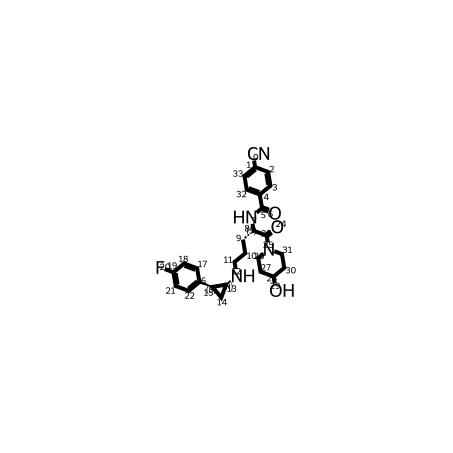 N#Cc1ccc(C(=O)N[C@@H](CCCN[C@@H]2C[C@H]2c2ccc(F)cc2)C(=O)N2CCC(O)CC2)cc1